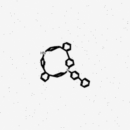 c1ccc(-c2ccc(N3c4ccc(cc4)-c4ccccc4-c4ccc(cc4)Nc4ccc(cc4)-c4ccccc4-c4ccc3cc4)cc2)cc1